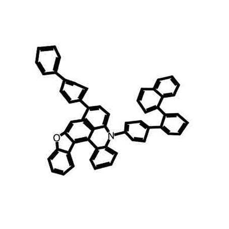 c1ccc(-c2ccc(-c3ccc(N(c4ccc(-c5ccccc5-c5cccc6ccccc56)cc4)c4ccccc4-c4cccc5oc6ccccc6c45)cc3)cc2)cc1